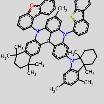 Cc1cc2c3c(c1)N(c1cccc4oc5ccccc5c14)c1cc4c(cc1B3c1ccc(N3c5cc(C)cc(C)c5C5(C)CCCCC35C)cc1N2c1cccc2c1sc1ccccc12)C(C)(C)CCC4(C)C